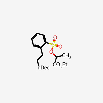 CCCCCCCCCCCCc1ccccc1S(=O)(=O)OC(C)C(=O)OCC